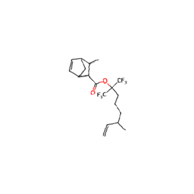 C=CC(C)CCCC(OC(=O)C1C2C=CC(C2)C1C)(C(F)(F)F)C(F)(F)F